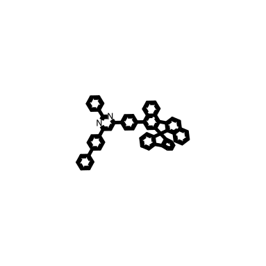 c1ccc(-c2ccc(-c3cc(-c4ccc(-c5cc6c(c7ccccc57)-c5ccc7ccccc7c5C65c6ccccc6-c6ccccc65)cc4)nc(-c4ccccc4)n3)cc2)cc1